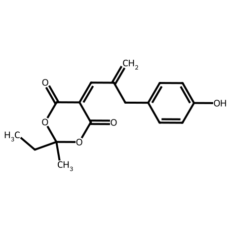 C=C(C=C1C(=O)OC(C)(CC)OC1=O)Cc1ccc(O)cc1